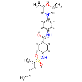 CCCCC(C)S(=O)(=O)NC1CCC(C(=O)Nc2ccc(N3CC(C)OC(C)C3)cc2)CC1